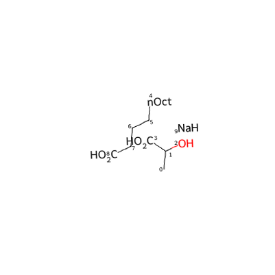 CC(O)C(=O)O.CCCCCCCCCCCC(=O)O.[NaH]